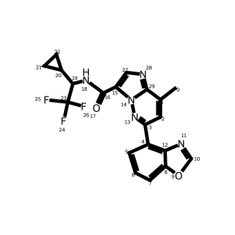 Cc1cc(-c2cccc3ocnc23)nn2c(C(=O)NC(C3CC3)C(F)(F)F)cnc12